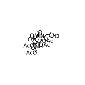 COC(=O)[C@@]1(OCC2CO2)C[C@H](OC(C)=O)[C@@H](NC(=O)COC(C)=O)[C@H]([C@H](OC(C)=O)[C@@H](CNC(=O)Cc2ccc(Cl)cc2)OC(C)=O)O1